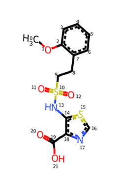 COc1ccccc1CCS(=O)(=O)Nc1scnc1C(=O)O